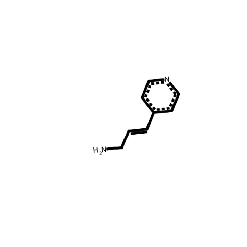 NCC=Cc1ccncc1